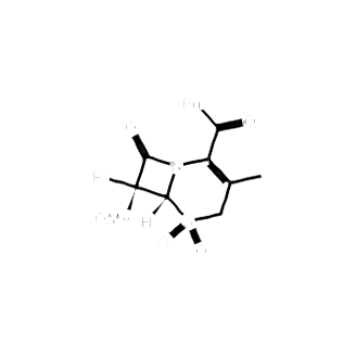 CO[C@@]1(Br)C(=O)N2C(C(=O)C(C)(C)C)=C(C)CS(=O)(=O)[C@@H]21